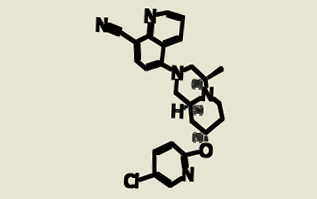 C[C@@H]1CN(c2ccc(C#N)c3ncccc23)C[C@@H]2C[C@@H](Oc3ccc(Cl)cn3)CCN21